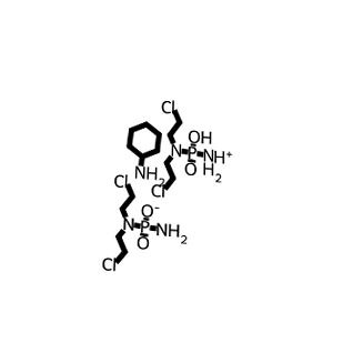 NC1CCCCC1.NP(=O)(O)N(CCCl)CCCl.NP(=O)([O-])N(CCCl)CCCl.[H+]